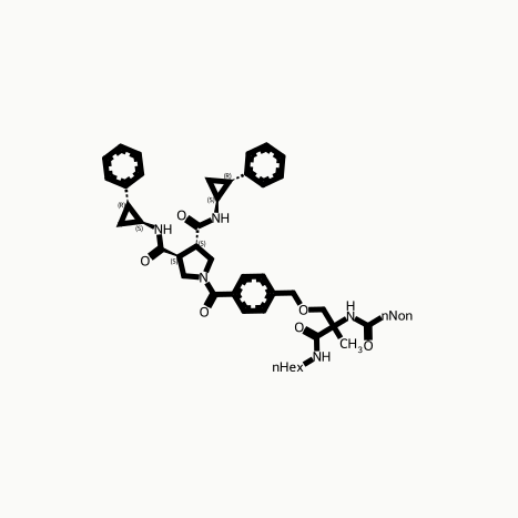 CCCCCCCCCC(=O)NC(C)(COCc1ccc(C(=O)N2C[C@@H](C(=O)N[C@H]3C[C@@H]3c3ccccc3)[C@H](C(=O)N[C@H]3C[C@@H]3c3ccccc3)C2)cc1)C(=O)NCCCCCC